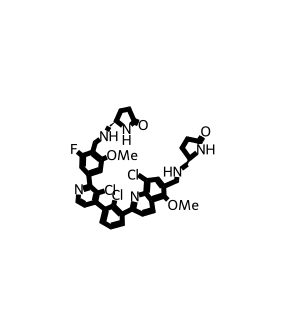 COc1cc(-c2nccc(-c3cccc(-c4ccc5c(OC)c(CNC[C@H]6CCC(=O)N6)cc(Cl)c5n4)c3Cl)c2Cl)cc(F)c1CNC[C@@H]1CCC(=O)N1